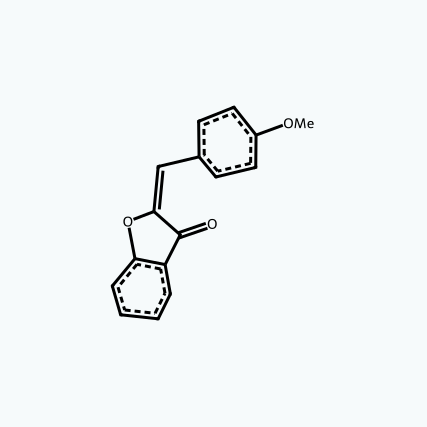 COc1ccc(/C=C2/Oc3ccccc3C2=O)cc1